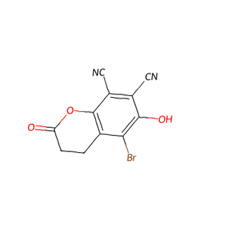 N#Cc1c(O)c(Br)c2c(c1C#N)OC(=O)CC2